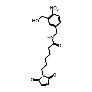 O=C(CCCCCN1C(=O)C=CC1=O)NCc1ccc([N+](=O)[O-])c(CO)c1